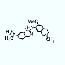 COc1cc2c(cc1Nc1ncc3ccc(P(C)C)cc3n1)CN(C)CC2